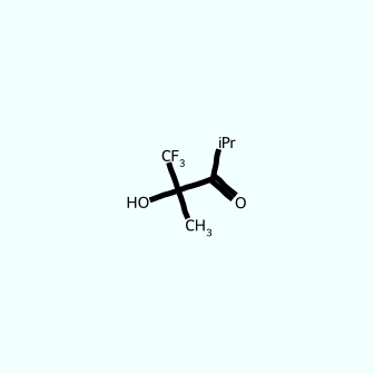 CC(C)C(=O)C(C)(O)C(F)(F)F